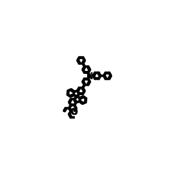 C=CC1=C(/C=C\C)OCc2c1ccc1c2-c2ccccc2C12c1ccccc1-c1cc(-c3ccc(N(c4ccc(-c5ccccc5)cc4)c4ccc(-c5ccccc5)cc4)cc3)ccc12